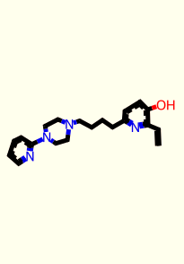 C=Cc1nc(CCCCN2CCN(c3ccccn3)CC2)ccc1O